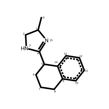 CC1CNC(C2CCCc3ccccc32)=N1